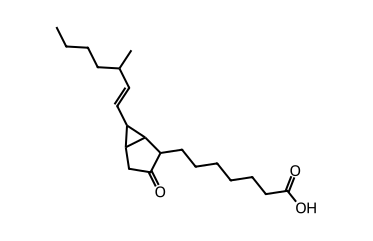 CCCCC(C)C=CC1C2CC(=O)C(CCCCCCC(=O)O)C12